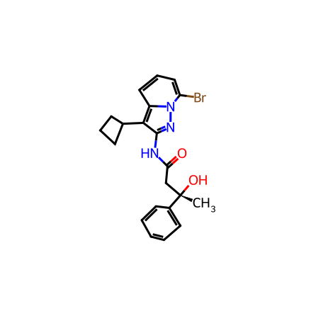 C[C@](O)(CC(=O)Nc1nn2c(Br)cccc2c1C1CCC1)c1ccccc1